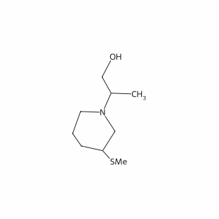 CSC1CCCN(C(C)CO)C1